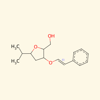 CC(C)C1CC(O/C=C/c2ccccc2)C(CO)O1